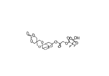 O=C(COC(=O)C(F)(F)S(=O)(=O)O)OC12CC3CC(C1)C1(OCC4(COS(=O)OC4)CO1)C(C3)C2